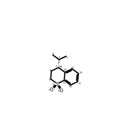 CC(C)[C@H]1CCS(=O)(=O)c2ccccc21